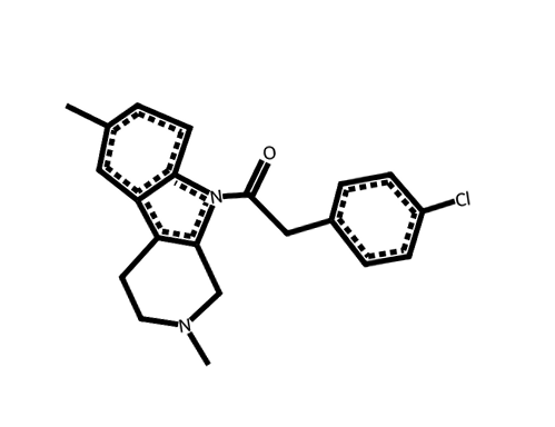 Cc1ccc2c(c1)c1c(n2C(=O)Cc2ccc(Cl)cc2)CN(C)CC1